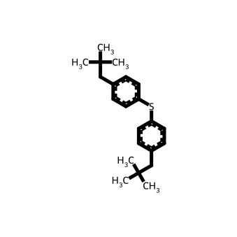 CC(C)(C)Cc1ccc(Sc2ccc(CC(C)(C)C)cc2)cc1